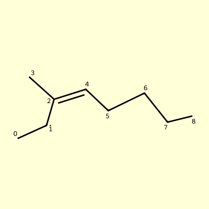 C[CH]/C(C)=C\CCCC